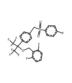 O=S(=O)(Cc1ccc(C(OCc2c(F)cccc2F)(C(F)(F)F)C(F)(F)F)cc1)c1ccc(F)cc1